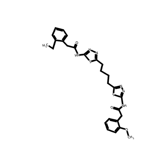 CCc1ccccc1CC(=O)Nc1nnc(CCCCc2nnc(NC(=O)Cc3ccccc3OC)s2)s1